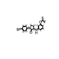 O=C1C(Nc2cccc(OC(F)F)c2)CCN1c1ccc(Br)cc1